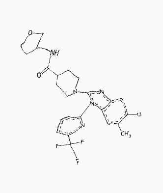 Cc1cc2c(cc1Cl)nc(N1CCC(C(=O)NC3CCOC3)CC1)n2-c1cccc(C(F)(F)F)n1